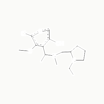 CCN1CCCC1CN(C)C(C)c1c(O)ccc(Cl)c1OC